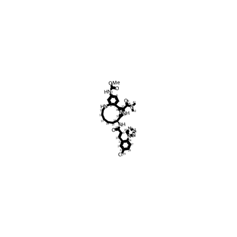 COC(=O)Nc1ccc2c(c1)NCCCCC[C@H](NC(=O)/C=C/c1cc(Cl)ccc1-n1cnnn1)c1nc-2c(C(=O)N(C)C)[nH]1